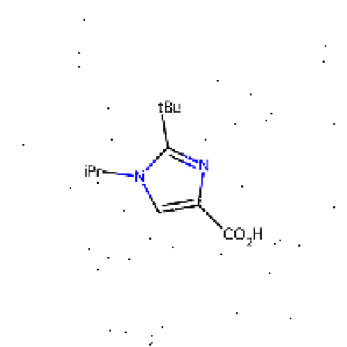 CC(C)n1cc(C(=O)O)nc1C(C)(C)C